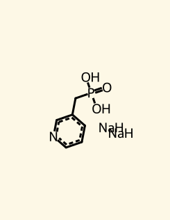 O=P(O)(O)Cc1cccnc1.[NaH].[NaH]